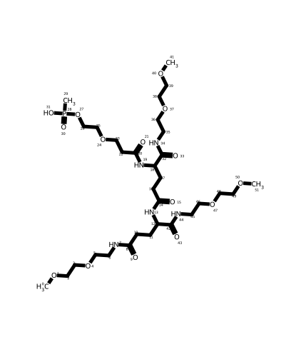 COCCOCCNC(=O)CCC(NC(=O)CCC(NC(=O)CCOCCOP(C)(=O)O)C(=O)NCCOCCOC)C(=O)NCCOCCOC